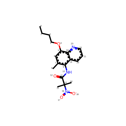 CCCCOc1cc(C)c(NC(=O)C(C)(C)[N+](=O)[O-])c2cccnc12